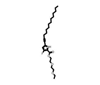 CCCCCCCCCCCCC#Cc1cc(F)c(C(=O)OCCOCCOCC)[nH]1